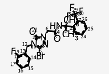 CC(C)(NC(=O)Cn1nc(Br)n(Cc2ccccc2F)c1=O)c1ccccc1C(F)(F)F